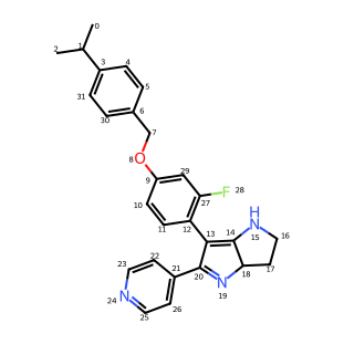 CC(C)c1ccc(COc2ccc(C3=C4NCCC4N=C3c3ccncc3)c(F)c2)cc1